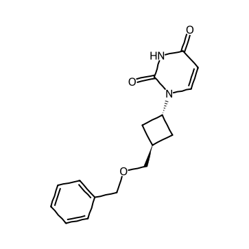 O=c1ccn([C@H]2C[C@H](COCc3ccccc3)C2)c(=O)[nH]1